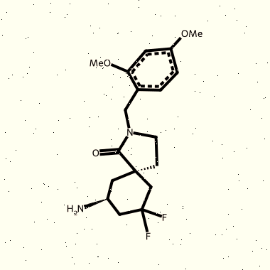 COc1ccc(CN2CC[C@]3(C[C@H](N)CC(F)(F)C3)C2=O)c(OC)c1